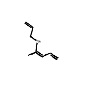 C=C/C=C(/C)NCC=C